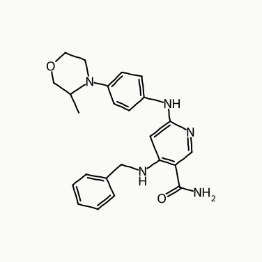 CC1COCCN1c1ccc(Nc2cc(NCc3ccccc3)c(C(N)=O)cn2)cc1